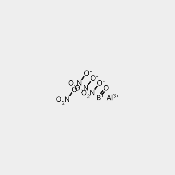 O=[N+]([O-])[O-].O=[N+]([O-])[O-].O=[N+]([O-])[O-].O=[N+]([O-])[O-].[Al+3].[B+]=O